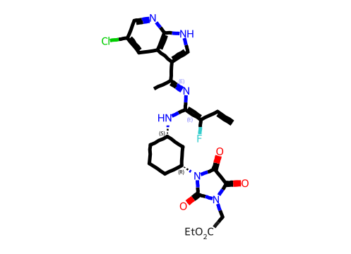 C=C/C(F)=C(\N=C(/C)c1c[nH]c2ncc(Cl)cc12)N[C@H]1CCC[C@@H](N2C(=O)C(=O)N(CC(=O)OCC)C2=O)C1